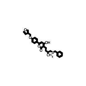 CC(CCc1c(O)cc(-c2ccc(OCc3ccoc3)cc2)oc1=O)CSCc1ccccc1